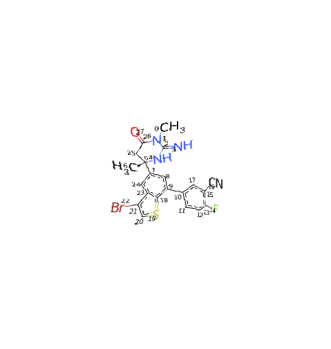 CN1C(=N)N[C@](C)(c2cc(-c3ccc(F)c(C#N)c3)c3scc(Br)c3c2)CC1=O